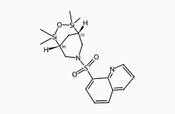 C[Si]1(C)O[Si](C)(C)[C@H]2C[C@@H]1CN(S(=O)(=O)c1cccc3cccnc13)C2